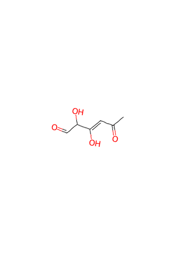 CC(=O)C=C(O)C(O)C=O